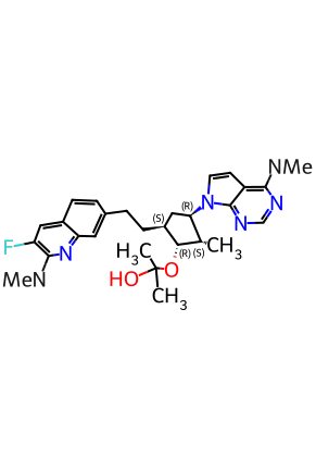 CNc1nc2cc(CC[C@H]3C[C@@H](n4ccc5c(NC)ncnc54)[C@H](C)[C@@H]3OC(C)(C)O)ccc2cc1F